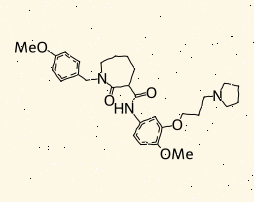 COc1ccc(CN2CCCCC(C(=O)Nc3ccc(OC)c(OCCCN4CCCC4)c3)C2=O)cc1